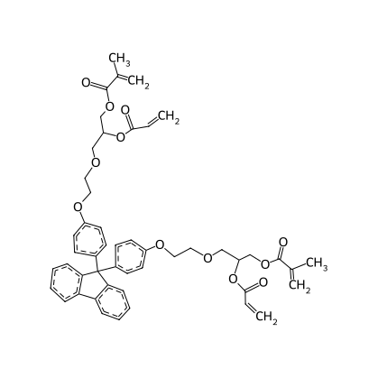 C=CC(=O)OC(COCCOc1ccc(C2(c3ccc(OCCOCC(COC(=O)C(=C)C)OC(=O)C=C)cc3)c3ccccc3-c3ccccc32)cc1)COC(=O)C(=C)C